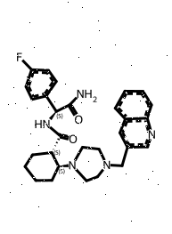 NC(=O)[C@@H](NC(=O)[C@H]1CCCC[C@@H]1N1CCN(Cc2cnc3ccccc3c2)CC1)c1ccc(F)cc1